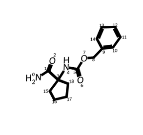 NC(=O)C1(NC(=O)OCc2ccccc2)CCCC1